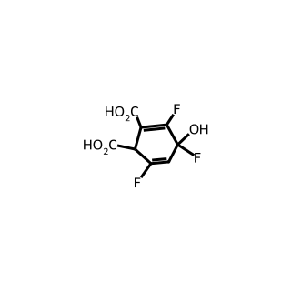 O=C(O)C1=C(F)C(O)(F)C=C(F)C1C(=O)O